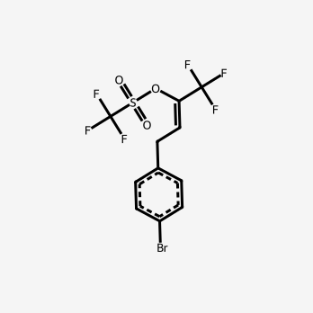 O=S(=O)(OC(=CCc1ccc(Br)cc1)C(F)(F)F)C(F)(F)F